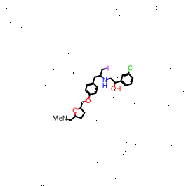 CNCC1CCC(COc2ccc(CC(CI)NCC(O)c3cccc(Cl)c3)cc2)O1